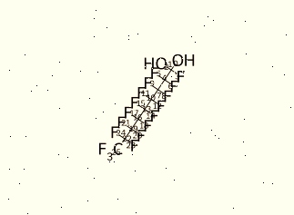 OC(O)(F)C(F)(F)C(F)(F)C(F)(F)C(F)(F)C(F)(F)C(F)(F)C(F)(F)C(F)(F)F